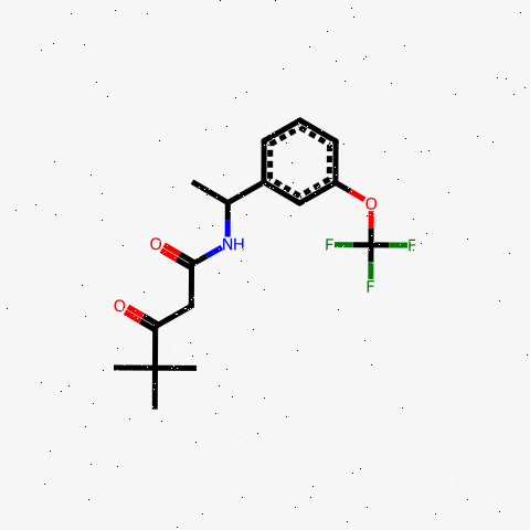 CC(NC(=O)CC(=O)C(C)(C)C)c1cccc(OC(F)(F)F)c1